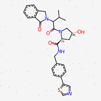 CC(C)C(C(=O)N1C[C@H](O)C[C@H]1C(=O)NCc1ccc(-c2cncs2)cc1)N1Cc2ccccc2C1=O